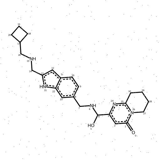 O=c1cc(C(O)NCc2ccc3cc(CNCC4CCC4)[nH]c3c2)nc2n1CCCC2